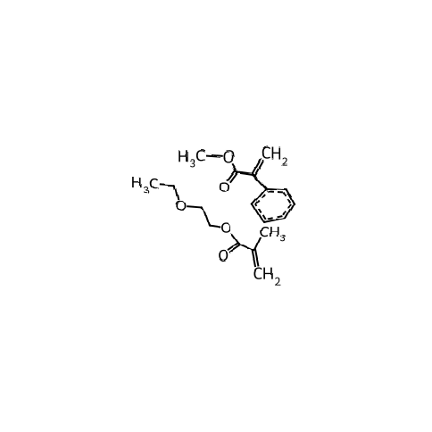 C=C(C(=O)OC)c1ccccc1.C=C(C)C(=O)OCCOCC